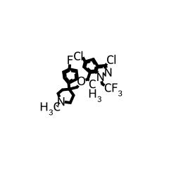 C[C@@H](OCC1(c2ccc(F)cc2)CCN(C)CC1)c1cc(Cl)cc2c(Cl)nn(CC(F)(F)F)c12